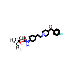 CC(C)(C)OC(=O)NC1CCC(CCN2CCC(C(=O)c3ccc(F)cc3)CC2)CC1